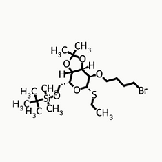 CCS[C@@H]1O[C@H](CO[Si](C)(C)C(C)(C)C)[C@@H]2OC(C)(C)O[C@@H]2[C@H]1OCCCCBr